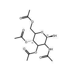 CC(=O)NC1C(OC(C)=O)[C@H](OC(C)=O)C(COC(C)=O)O[C@H]1S